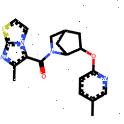 Cc1ccc(OC2CC3CC2N(C(=O)c2c(C)nc4sccn24)C3)nc1